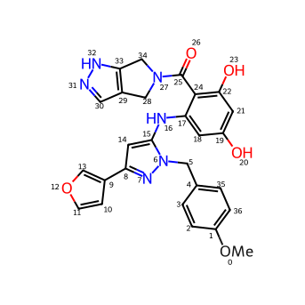 COc1ccc(Cn2nc(-c3ccoc3)cc2Nc2cc(O)cc(O)c2C(=O)N2Cc3cn[nH]c3C2)cc1